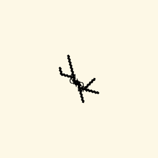 CCCC/C=C\CCCCCCN(CCCCCCCCCCCCCC)CC(=O)N1CCN(C(=O)CN(CCCCCCCCC)CCN(CCCCCCCCC)CCCCCCCCC)CC1